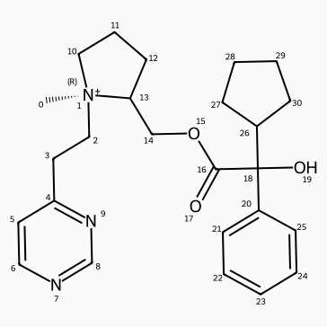 C[N@+]1(CCc2ccncn2)CCCC1COC(=O)C(O)(c1ccccc1)C1CCCC1